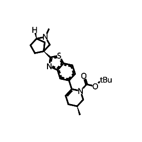 C[C@H]1CC=C(c2ccc3sc([C@@]45CC[C@@H](C4)N(C)C5)nc3c2)N(C(=O)OC(C)(C)C)C1